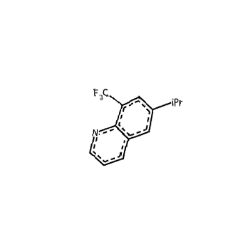 CC(C)c1cc(C(F)(F)F)c2ncccc2c1